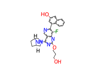 OCCCOc1nc(N2C[C@H]3CC[C@@H](C2)N3)c2cnc(-c3cc(O)cc4ccccc34)c(F)c2n1